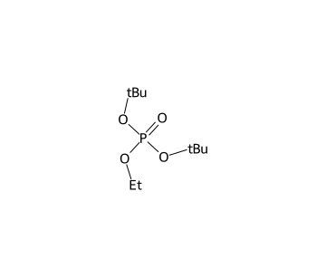 CCOP(=O)(OC(C)(C)C)OC(C)(C)C